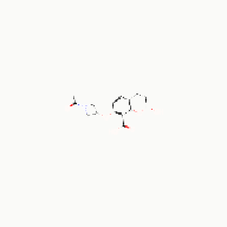 CC(=O)N1CC(OC2=C(C(=O)O)C3OB(O)CCC3C=C2)C1